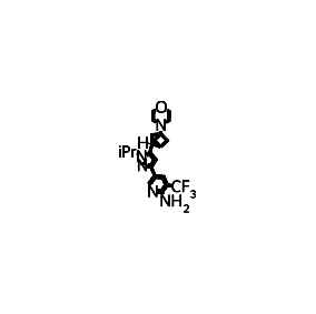 CC(C)n1nc(-c2cnc(N)c(C(F)(F)F)c2)cc1[C@H]1CC2(N3CCOCC3)CC1C2